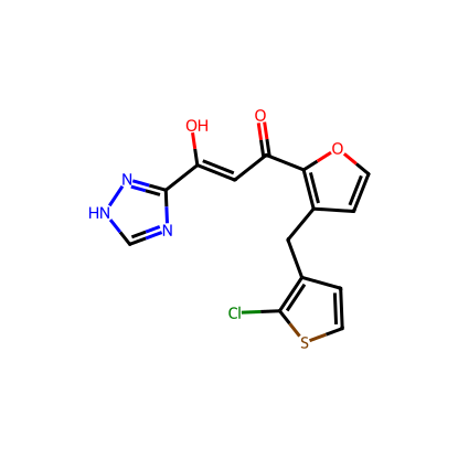 O=C(C=C(O)c1nc[nH]n1)c1occc1Cc1ccsc1Cl